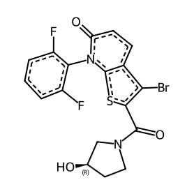 O=C(c1sc2c(ccc(=O)n2-c2c(F)cccc2F)c1Br)N1CC[C@@H](O)C1